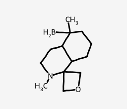 BC1(C)CCCC2C1CCN(C)C21COC1